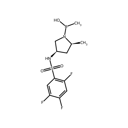 CB(O)N1C[C@H](NS(=O)(=O)c2cc(F)c(F)cc2F)C[C@@H]1C